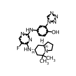 CC1(C)C[C@H](Nc2nc(Nc3ccc(O)c(-n4cnnn4)c3)ncc2F)C[C@H]2CCCN21